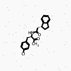 CC(=O)[C@@H](Cc1ccc(Cl)cc1)NC(=O)C[C@H]1CCc2ccccc21